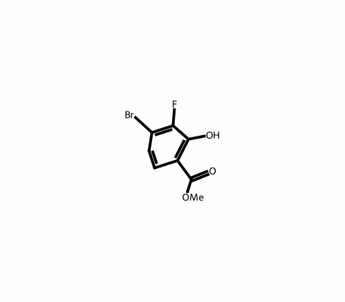 COC(=O)c1ccc(Br)c(F)c1O